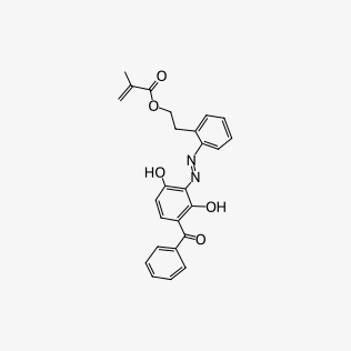 C=C(C)C(=O)OCCc1ccccc1N=Nc1c(O)ccc(C(=O)c2ccccc2)c1O